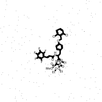 CCOP(=O)(OC)C(NC(=O)C(Cc1ccc(OCc2c(Cl)cccc2Cl)cc1)NC(=O)/C=C/c1c(F)c(F)c(F)c(F)c1F)P(=O)(OCC)OCC